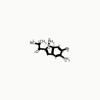 C=C(C#N)C(=O)c1cc2cc(P)c(Br)cc2n1P